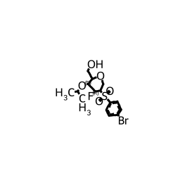 CC(C)O[C@@H]1C(CO)OCC(S(=O)(=O)c2ccc(Br)cc2)[C@@H]1F